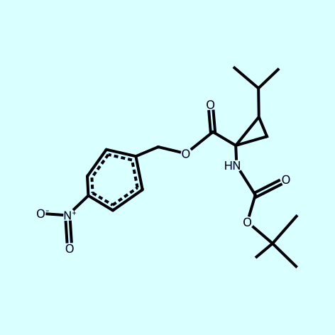 CC(C)C1CC1(NC(=O)OC(C)(C)C)C(=O)OCc1ccc([N+](=O)[O-])cc1